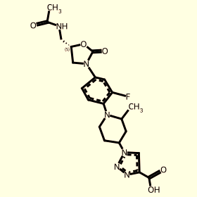 CC(=O)NC[C@H]1CN(c2ccc(N3CCC(n4cc(C(=O)O)nn4)CC3C)c(F)c2)C(=O)O1